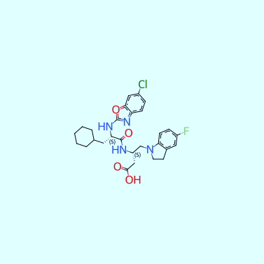 O=C(O)C[C@@H](CN1CCc2cc(F)ccc21)NC(=O)[C@H](CC1CCCCC1)Nc1nc2ccc(Cl)cc2o1